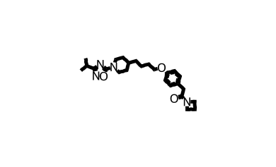 CC(C)c1noc(N2CCC(CCCCOc3ccc(CC(=O)N4CCC4)cc3)CC2)n1